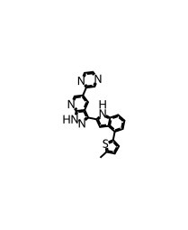 Cc1ccc(-c2cccc3[nH]c(-c4n[nH]c5ncc(-c6cnccn6)cc45)cc23)s1